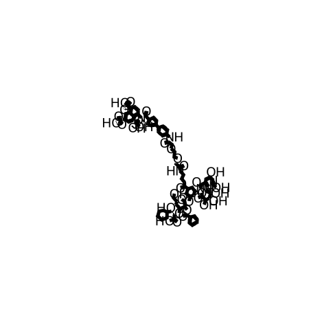 CC1OC(OC2C(NC(=O)c3cc(O)nc(O)n3)CC(C(=O)CCCNC(=O)COCCOCC(=O)Nc3ccc(-c4ccc(C(=O)Nc5ccc(S(=O)(=O)O)c6cc(S(=O)(=O)O)cc(S(=O)(=O)O)c56)cc4)cc3)CC2OC2OC(CO)C(O)C(O[C@@H](CC3CCCCC3)C(=O)O)C2OC(=O)c2ccccc2)C(O)C(O)C1O